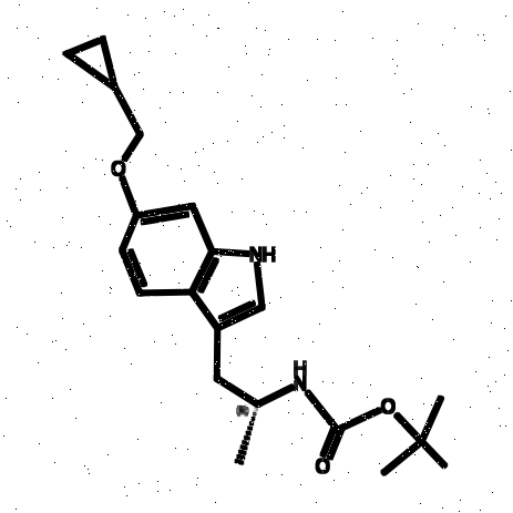 C[C@H](Cc1c[nH]c2cc(OCC3CC3)ccc12)NC(=O)OC(C)(C)C